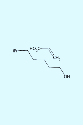 C=CC(=O)O.CC(C)CCCCCO